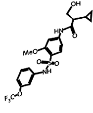 COc1cc(NC(=O)[C@@H](CO)C2CC2)ccc1S(=O)(=O)Nc1cccc(OC(F)(F)F)c1